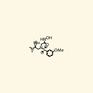 COc1cccc(S(=O)(=O)N(CC(=O)N(C)C)[C@@H](C(=O)NO)C(C)(C)C)c1